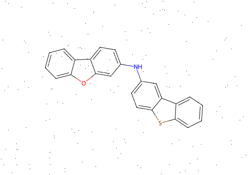 c1ccc2c(c1)oc1cc(Nc3ccc4sc5ccccc5c4c3)ccc12